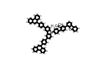 C[Si]1(C)c2cc(-c3cccc4c3oc3ccccc34)ccc2-c2ccc(-n3c4ccc(-c5ccc(-c6cc7ccccc7c7ccccc67)cc5)cc4c4cc(-c5ccc(-c6cc7ccccc7c7ccccc67)cc5)ccc43)cc21